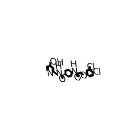 O=C(COc1ccc(Cl)c(Cl)c1)N[C@H]1CC[C@H](C(=O)NCc2cc(CO)ccn2)CC1